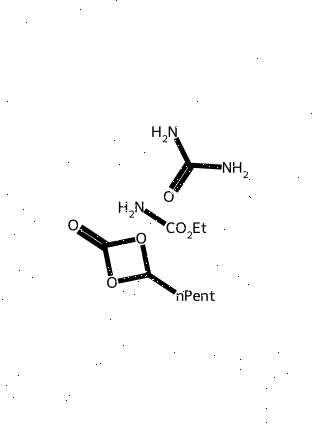 CCCCCC1OC(=O)O1.CCOC(N)=O.NC(N)=O